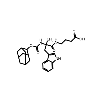 CC(Cc1c[nH]c2ccccc12)(NC(=O)OC1C2CC3CC(C2)CC1C3)C(=O)NCCCC(=O)O